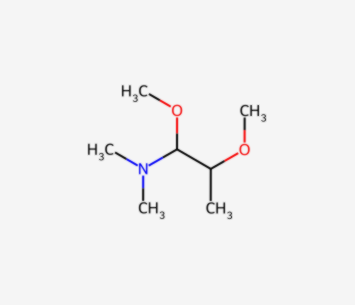 COC(C)C(OC)N(C)C